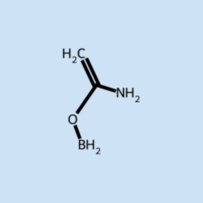 BOC(=C)N